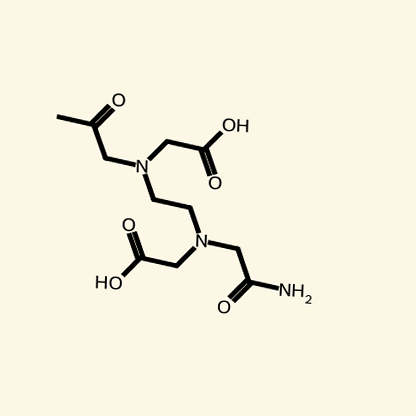 CC(=O)CN(CCN(CC(N)=O)CC(=O)O)CC(=O)O